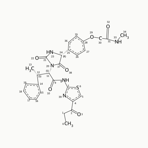 CCC(=O)c1csc(NC(=O)[C@H]([C@@H](C)c2ccccc2)N2C(=O)N[C@H](c3ccc(OCC(=O)NC)cc3)C2=O)n1